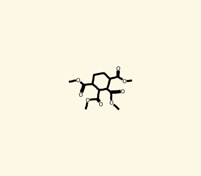 COC(=O)C1CCC(C(=O)OC)C(C(=O)OC)C1C(=O)OC